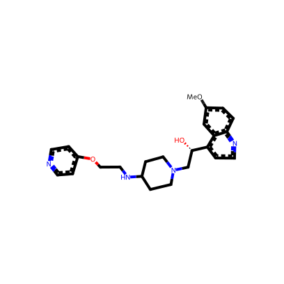 COc1ccc2nccc([C@@H](O)CN3CCC(NCCOc4ccncc4)CC3)c2c1